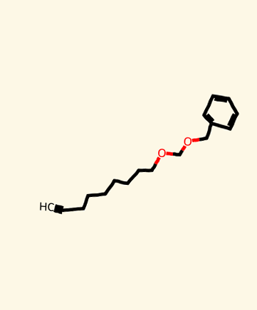 C#CCCCCCCCOCOCc1ccccc1